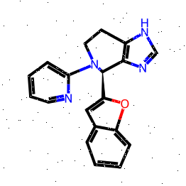 c1ccc(N2CCc3[nH]cnc3[C@H]2c2cc3ccccc3o2)nc1